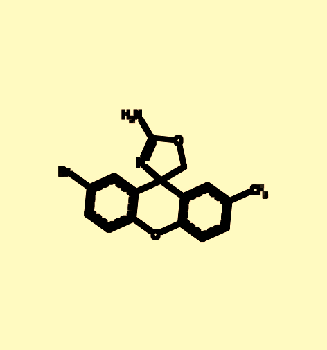 NC1=NC2(CO1)c1cc(Br)ccc1Oc1ccc(C(F)(F)F)cc12